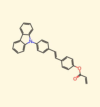 C=CC(=O)Oc1ccc(C=Cc2ccc(-n3c4ccccc4c4ccccc43)cc2)cc1